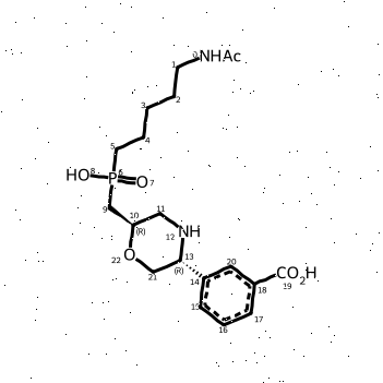 CC(=O)NCCCCCP(=O)(O)C[C@H]1CN[C@H](c2cccc(C(=O)O)c2)CO1